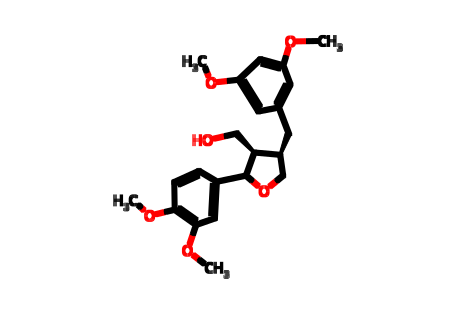 COc1cc(C[C@H]2COC(c3ccc(OC)c(OC)c3)[C@H]2CO)cc(OC)c1